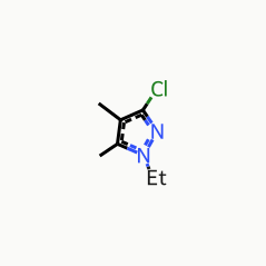 CCn1nc(Cl)c(C)c1C